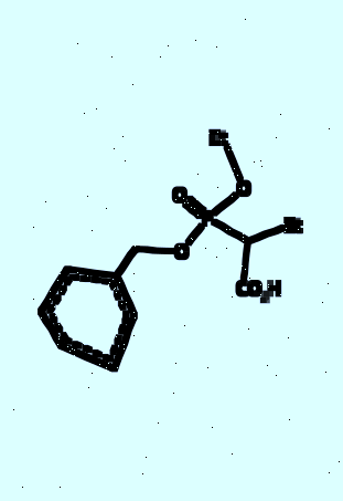 CCOP(=O)(OCc1ccccc1)C(CC)C(=O)O